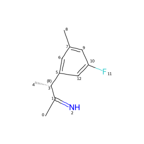 CC(=N)[C@H](C)c1cc(C)cc(F)c1